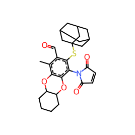 Cc1c(C=O)c(SC23CC4CC(CC(C4)C2)C3)c(N2C(=O)C=CC2=O)c2c1OC1CCCCC1O2